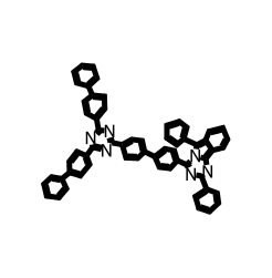 c1ccc(-c2ccc(-c3nc(-c4ccc(-c5ccccc5)cc4)nc(-c4ccc(-c5ccc(-c6nc(-c7ccccc7)nc7c8ccccc8c(-c8ccccc8)n67)cc5)cc4)n3)cc2)cc1